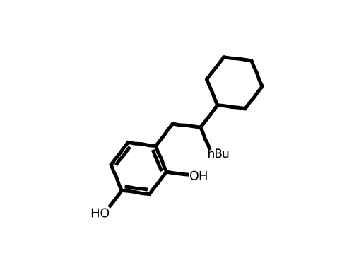 CCCCC(Cc1ccc(O)cc1O)C1CCCCC1